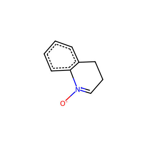 [O-][N+]1=CCCc2ccccc21